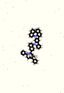 CCC1/C=C(/c2ccc3c(-n4c5ccccc5c5cc6c7ccc8ccccc8c7n(-c7cccc8ccccc78)c6cc54)cccc3c2)NC(c2ccccc2)CC/C(C)=C/1c1ccccc1